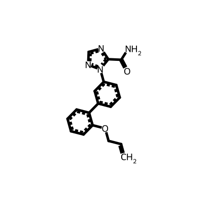 C=CCOc1ccccc1-c1cccc(-n2ncnc2C(N)=O)c1